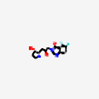 O=C(C[C@H]1NCC[C@@H]1O)Cn1cnc2ccc(F)c(F)c2c1=O